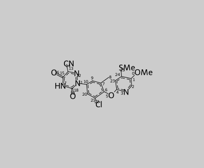 COc1cnc(Oc2c(C)cc(-n3nc(C#N)c(=O)[nH]c3=O)cc2Cl)cc1SC